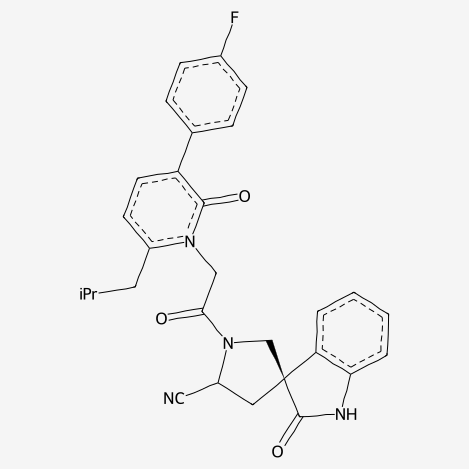 CC(C)Cc1ccc(-c2ccc(F)cc2)c(=O)n1CC(=O)N1C[C@]2(CC1C#N)C(=O)Nc1ccccc12